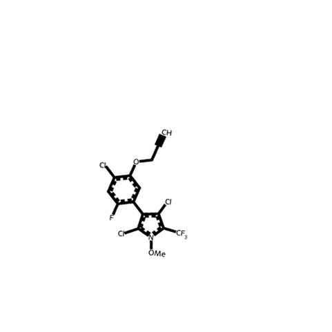 C#CCOc1cc(-c2c(Cl)c(C(F)(F)F)n(OC)c2Cl)c(F)cc1Cl